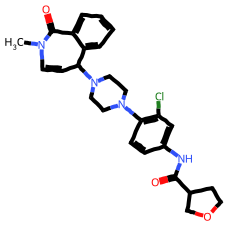 CN1C=CC(N2CCN(c3ccc(NC(=O)C4CCOC4)cc3Cl)CC2)c2ccccc2C1=O